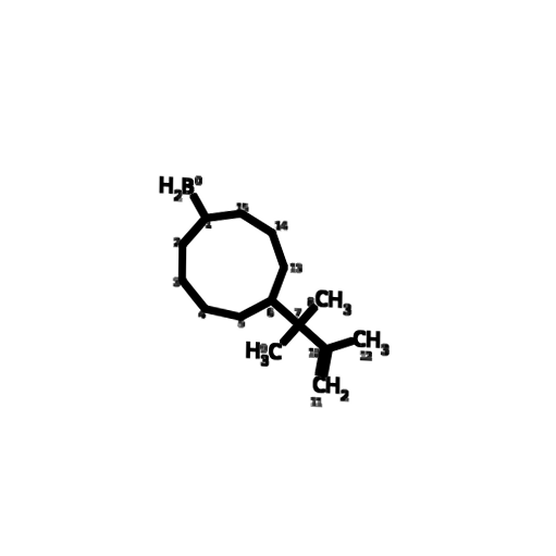 BC1CCCCC(C(C)(C)C(=C)C)CCC1